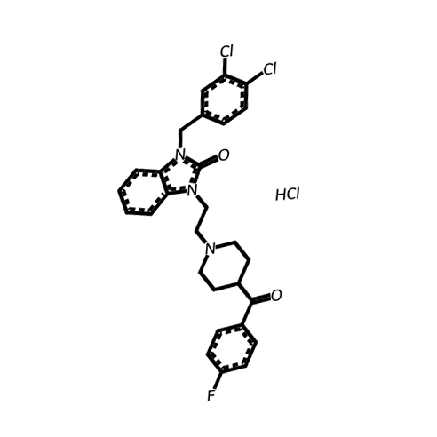 Cl.O=C(c1ccc(F)cc1)C1CCN(CCn2c(=O)n(Cc3ccc(Cl)c(Cl)c3)c3ccccc32)CC1